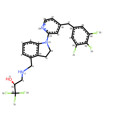 O[C@@H](CNCc1cccc2c1CCN2c1cc(Cc2cc(F)c(F)c(F)c2)ccn1)C(F)(F)F